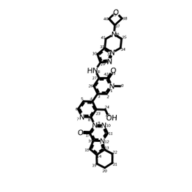 Cn1cc(-c2ccnc(-n3ncn4c5c(cc4c3=O)CCCC5)c2CO)cc(Nc2cc3n(n2)CCN(C2COC2)C3)c1=O